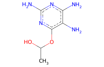 CC(O)Oc1nc(N)nc(N)c1N